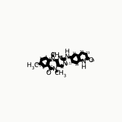 Cc1ccc2c(c1)C(=O)N(C)c1cnc(Nc3ccc4c(c3)CCC(=O)N4)nc1N2C